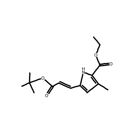 CCOC(=O)c1[nH]c(/C=C/C(=O)OC(C)(C)C)cc1C